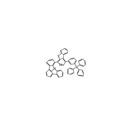 c1ccc([Si](c2ccccc2)(c2ccccc2)c2cccc(-c3cnc(-c4cccc5c6cccc7c8ccccc8n(c45)c76)c4sc5ccccc5c34)c2)cc1